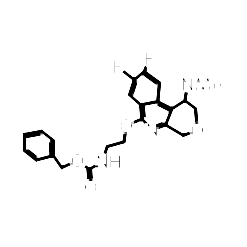 CNC1COCc2nc(OCCNC(=O)OCc3ccccc3)c3cc(F)c(F)cc3c21